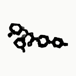 Cc1ccc(N2CCN(C(=O)OC(C[C@@H]3CCCN(C)C3)[C@H]3CCCN(C)C3)CC2)cc1